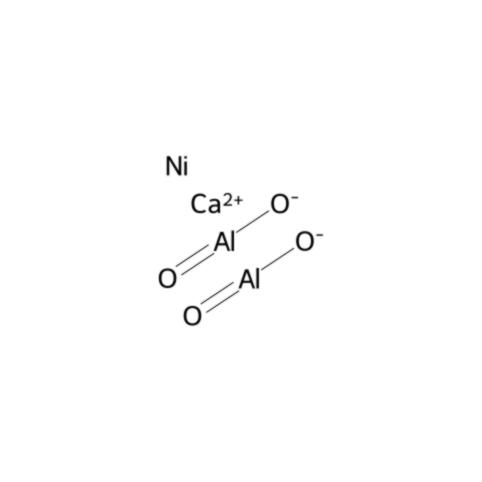 [Ca+2].[Ni].[O]=[Al][O-].[O]=[Al][O-]